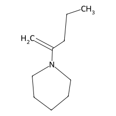 C=C(CCC)N1CCCCC1